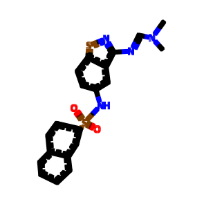 CN(C)/C=N/c1nsc2ccc(NS(=O)(=O)c3ccc4ccccc4c3)cc12